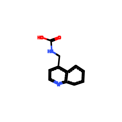 O=C(O)NCc1ccnc2ccccc12